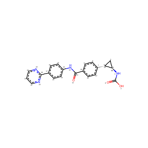 O=C(O)N[C@@H]1C[C@H]1c1ccc(C(=O)Nc2ccc(-c3ncccn3)cc2)cc1